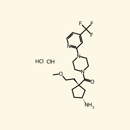 COCC[C@]1(C(=O)N2CCN(c3cc(C(F)(F)F)ccn3)CC2)CC[C@@H](N)C1.Cl.Cl